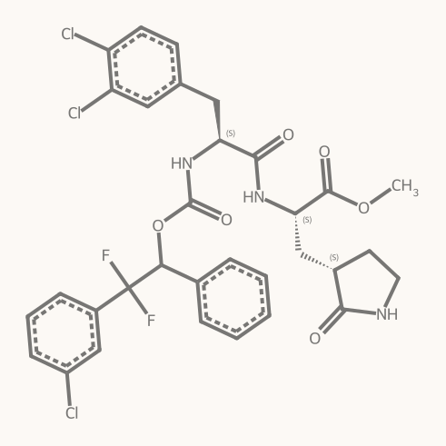 COC(=O)[C@H](C[C@@H]1CCNC1=O)NC(=O)[C@H](Cc1ccc(Cl)c(Cl)c1)NC(=O)OC(c1ccccc1)C(F)(F)c1cccc(Cl)c1